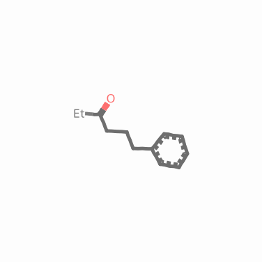 CCC(=O)CCCc1ccccc1